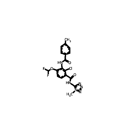 Cc1ccc(C(=O)Nc2c(OC(F)F)ccc(C(=O)Nc3nnnn3C)c2Cl)cc1